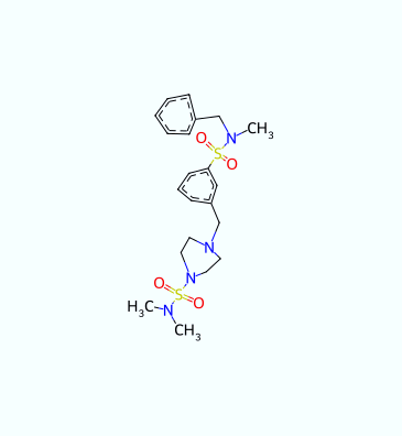 CN(Cc1ccccc1)S(=O)(=O)c1cccc(CN2CCN(S(=O)(=O)N(C)C)CC2)c1